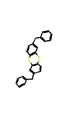 c1ccc(Cc2ccc3c(c2)Sc2ccc(Cc4ccccc4)cc2S3)cc1